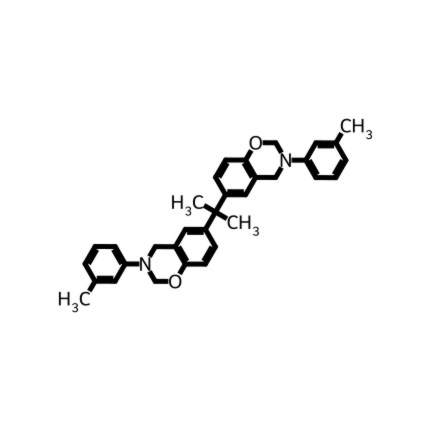 Cc1cccc(N2COc3ccc(C(C)(C)c4ccc5c(c4)CN(c4cccc(C)c4)CO5)cc3C2)c1